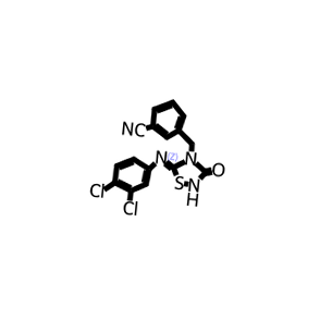 N#Cc1cccc(Cn2c(=O)[nH]s/c2=N\c2ccc(Cl)c(Cl)c2)c1